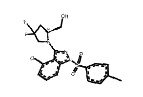 Cc1ccc(S(=O)(=O)n2nc(N3CC(F)(F)C[C@H]3CO)c3c(Cl)cccc32)cc1